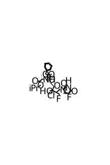 CC(C)OC(=O)[C@H](C)N[P@@](=O)(OC[C@H]1O[C@@H](n2cc(F)c(=O)[nH]c2=O)[C@@](Cl)(CF)C1O)Oc1ccccc1